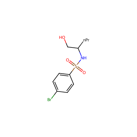 CCCC(CO)NS(=O)(=O)c1ccc(Br)cc1